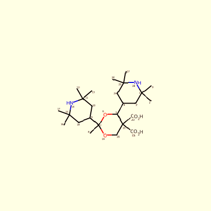 CC1(C)CC(C2OC(C)(C3CC(C)(C)NC(C)(C)C3)OCC2(C(=O)O)C(=O)O)CC(C)(C)N1